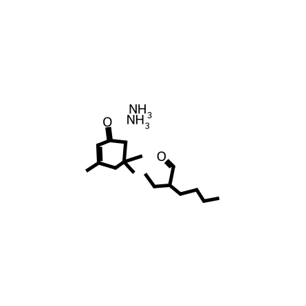 CC1=CC(=O)CC(C)(C)C1.CCCCC(C=O)CC.N.N